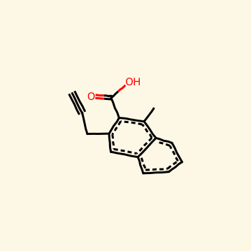 C#CCc1cc2ccccc2c(C)c1C(=O)O